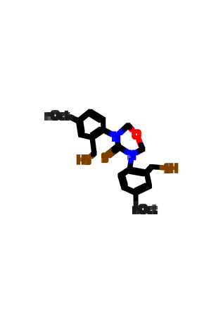 CCCCCCCCc1ccc(N2COCN(c3ccc(CCCCCCCC)cc3CS)C2=S)c(CS)c1